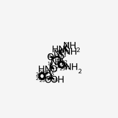 N=C(N)Nc1nc(C(=O)NCC(=O)N[C@@H](CC(=O)O)c2ccccc2)c(-c2cccc(N)c2)s1